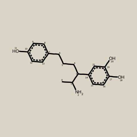 CC(N)C(CCCc1ccc(O)cc1)c1ccc(O)c(O)c1